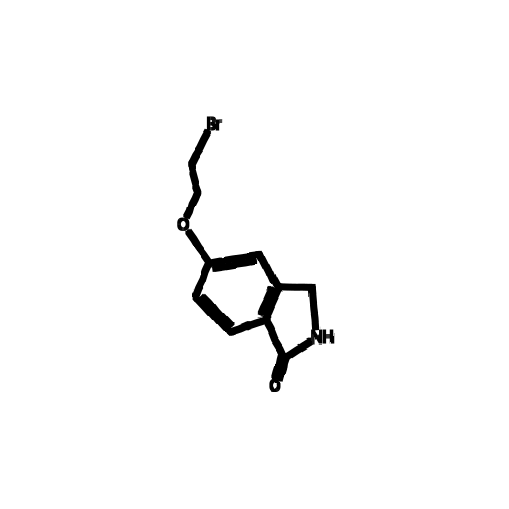 O=C1NCc2cc(OCCBr)ccc21